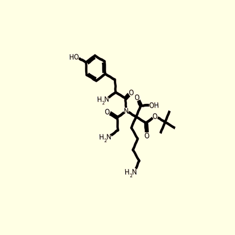 CC(C)(C)OC(=O)C(CCCCN)(C(=O)O)N(C(=O)CN)C(=O)C(N)Cc1ccc(O)cc1